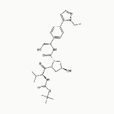 CCn1nccc1-c1ccc([C@H](CO)NC(=O)[C@@H]2C[C@@H](O)CN2C(=O)[C@@H](NC(=O)OC(C)(C)C)C(C)C)cc1